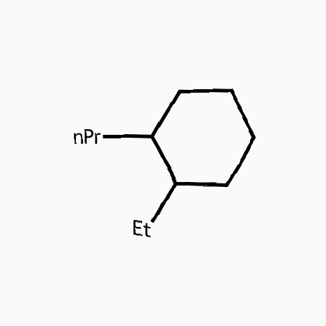 CCCC1CCCCC1CC